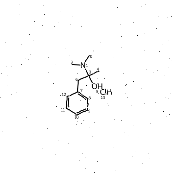 CN(C)C(C)(O)Cc1ccccc1.Cl